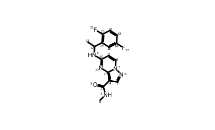 CNC(=O)c1cnn2ccc(NC(C)c3cc(F)ccc3F)nc12